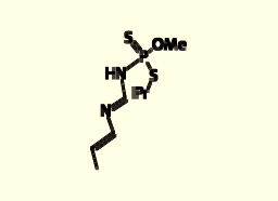 CC=CN=CNP(=S)(OC)SC(C)C